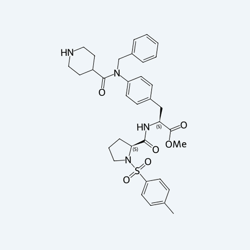 COC(=O)[C@H](Cc1ccc(N(Cc2ccccc2)C(=O)C2CCNCC2)cc1)NC(=O)[C@@H]1CCCN1S(=O)(=O)c1ccc(C)cc1